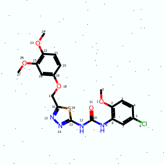 COc1ccc(Cl)cc1NC(=O)Nc1nnc(COc2ccc(OC)c(OC)c2)s1